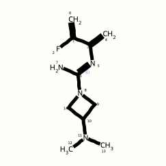 C=C(F)C(=C)/N=C(\N)N1CC(N(C)C)C1